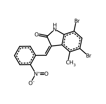 Cc1c(Br)cc(Br)c2c1C(=Cc1ccccc1[N+](=O)[O-])C(=O)N2